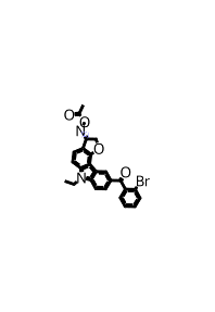 CCn1c2ccc(C(=O)c3ccccc3Br)cc2c2c3c(ccc21)/C(=N/OC(C)=O)CO3